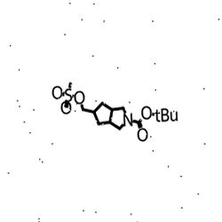 CC(C)(C)OC(=O)N1CC2CC(COS(C)(=O)=O)CC2C1